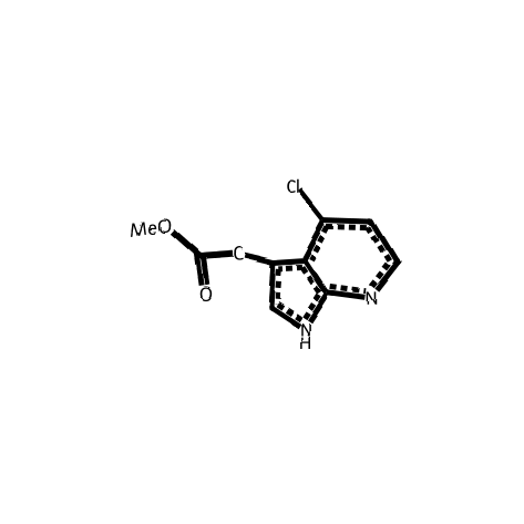 COC(=O)Cc1c[nH]c2nccc(Cl)c12